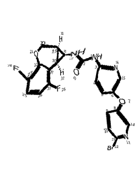 O=C(Nc1ccc(Oc2ccc(Br)nc2)cn1)N[C@@H]1[C@@H]2COc3c(F)ccc(F)c3[C@@H]21